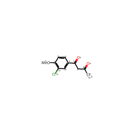 COc1ccc(C(=O)CC(=O)C(F)(F)F)cc1Cl